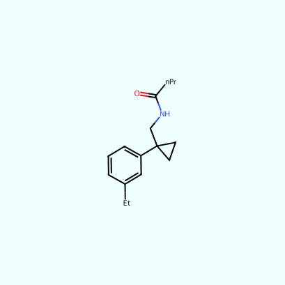 CCCC(=O)NCC1(c2cccc(CC)c2)CC1